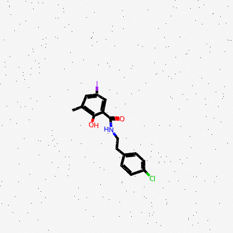 Cc1cc(I)cc(C(=O)NCCc2ccc(Cl)cc2)c1O